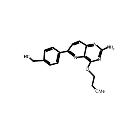 COCCOc1nc(N)nc2ccc(-c3ccc(CC#N)cc3)nc12